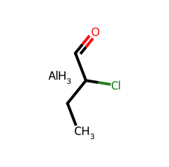 CCC(Cl)C=O.[AlH3]